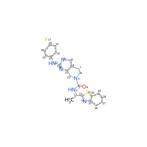 CC(NC(=O)N1CCc2cnc(Nc3ccc(F)cc3)nc2C1)c1nc2ccccc2s1